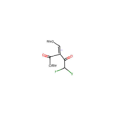 CO/C=C(\C(=O)OC)C(=O)C(F)F